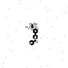 CC(C)(Oc1cccc(C2=CCN(C(=O)c3ccncc3)CC2)c1)C(=O)O